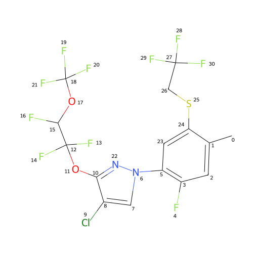 Cc1cc(F)c(-n2cc(Cl)c(OC(F)(F)C(F)OC(F)(F)F)n2)cc1SCC(F)(F)F